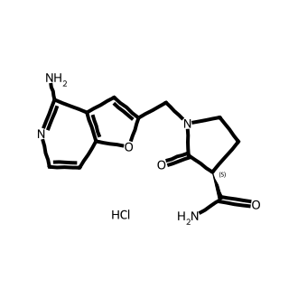 Cl.NC(=O)[C@@H]1CCN(Cc2cc3c(N)nccc3o2)C1=O